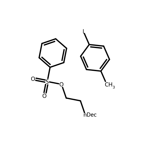 CCCCCCCCCCCCOS(=O)(=O)c1ccccc1.Cc1ccc(I)cc1